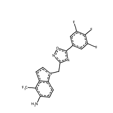 Nc1ccc2c(ccn2Cc2noc(-c3cc(F)c(F)c(F)c3)n2)c1C(F)(F)F